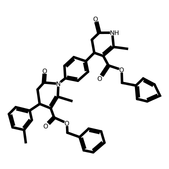 CC1=C(C(=O)OCc2ccccc2)C(c2ccc(N3C(=O)CC(c4cccc(C)c4)C(C(=O)OCc4ccccc4)=C3C)cc2)CC(=O)N1